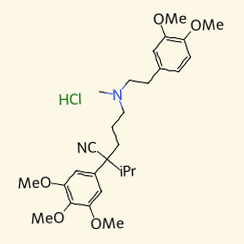 COc1ccc(CCN(C)CCCC(C#N)(c2cc(OC)c(OC)c(OC)c2)C(C)C)cc1OC.Cl